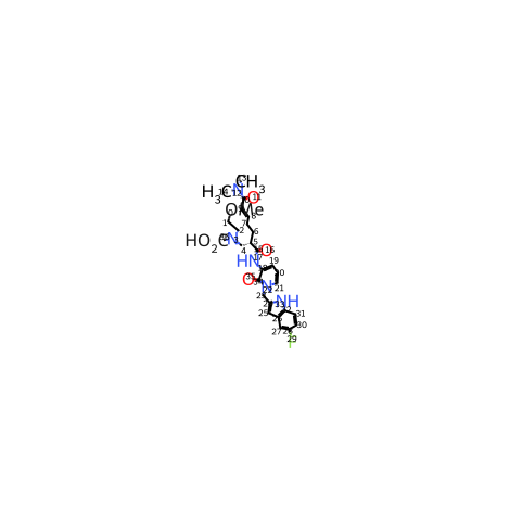 COCCN(C[C@H](CC/C=C/C(=O)N(C)C)C(=O)Nc1cccn(Cc2cc3cc(F)ccc3[nH]2)c1=O)C(=O)O